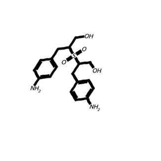 Nc1ccc(CC(CO)S(=O)(=O)C(CO)Cc2ccc(N)cc2)cc1